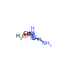 CC(C)Oc1ccc2[nH]nc(-c3nccc(C4CN(CCCN)C4)n3)c2c1